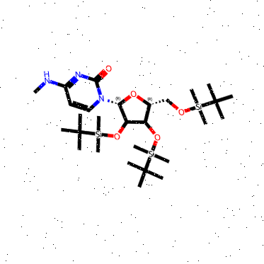 CNc1ccn([C@@H]2O[C@H](CO[Si](C)(C)C(C)(C)C)C(O[Si](C)(C)C(C)(C)C)C2O[Si](C)(C)C(C)(C)C)c(=O)n1